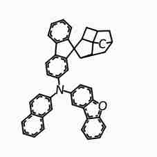 c1ccc2c(c1)-c1ccc(N(c3ccc4ccccc4c3)c3ccc4oc5ccccc5c4c3)cc1C21C2CC3CC4CC1C4(C3)C2